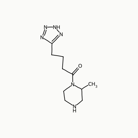 CC1CNCCN1C(=O)CCCc1nn[nH]n1